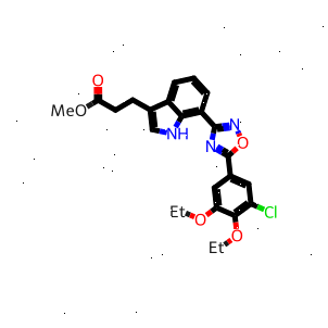 CCOc1cc(-c2nc(-c3cccc4c(CCC(=O)OC)c[nH]c34)no2)cc(Cl)c1OCC